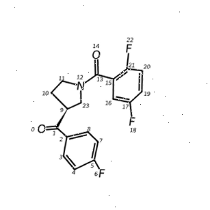 O=C(c1ccc(F)cc1)[C@H]1CCN(C(=O)c2cc(F)ccc2F)C1